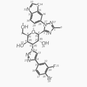 Cc1nc([C@@H]2O[C@H](CO)[C@H](O)[C@H](n3cc(-c4ccc(Br)c(F)c4)nn3)[C@H]2O)n(-c2ccc3ncsc3c2)n1